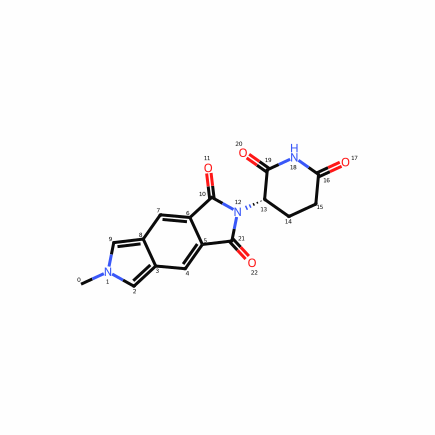 Cn1cc2cc3c(cc2c1)C(=O)N([C@H]1CCC(=O)NC1=O)C3=O